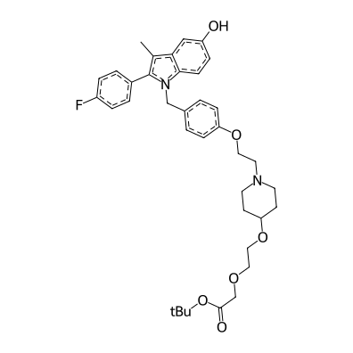 Cc1c(-c2ccc(F)cc2)n(Cc2ccc(OCCN3CCC(OCCOCC(=O)OC(C)(C)C)CC3)cc2)c2ccc(O)cc12